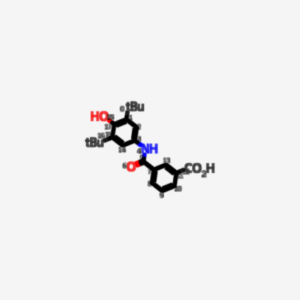 CC(C)(C)c1cc(NC(=O)c2cccc(C(=O)O)c2)cc(C(C)(C)C)c1O